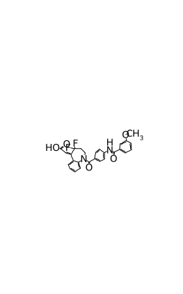 COc1cccc(C(=O)Nc2ccc(C(=O)N3CCC(F)(F)C(=CC(=O)O)c4ccccc43)cc2)c1